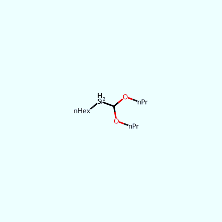 CCCCCC[SiH2]C(OCCC)OCCC